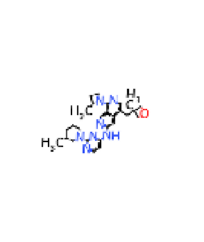 CC1CCCN(c2nccc(Nc3cc4c(CC5(C)COC5)cnc(N5CCC5C)c4cn3)n2)C1